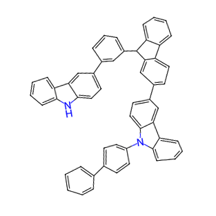 c1ccc(-c2ccc(-n3c4ccccc4c4cc(-c5ccc6c(c5)C(c5cccc(-c7ccc8[nH]c9ccccc9c8c7)c5)c5ccccc5-6)ccc43)cc2)cc1